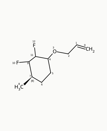 C=CCOC1CC[C@@H](C)C(F)C1F